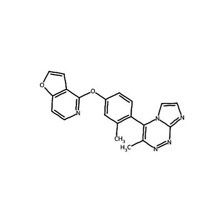 Cc1cc(Oc2nccc3occc23)ccc1-c1c(C)nnc2nccn12